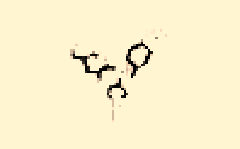 COc1ccc(C[C@@]2(Nc3ncc(CO)cc3Cl)CCNC2)cc1